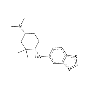 CN(C)[C@@H]1CC[C@H](Nc2ccc3scnc3c2)C(C)(C)C1